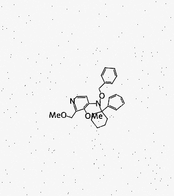 COCc1nccc(N(OCc2ccccc2)C2(c3ccccc3)CCCCC2)c1OC